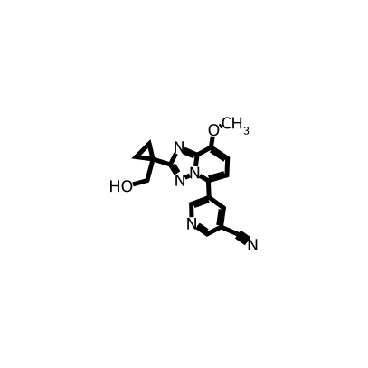 COc1ccc(-c2cncc(C#N)c2)n2nc(C3(CO)CC3)nc12